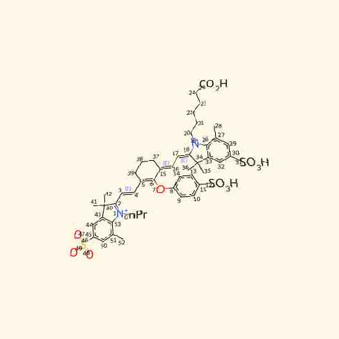 CCC[N+]1=C(/C=C/C2=C(Oc3ccc(S(=O)(=O)O)cc3)C(=C/C=C3/N(CCCCCC(=O)O)c4c(C)cc(S(=O)(=O)O)cc4C3(C)C)/CCC2)C(C)(C)c2cc(S(=O)(=O)[O-])cc(C)c21